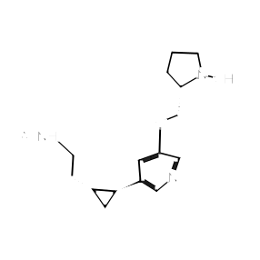 CC(=O)NCC[C@H]1C[C@@H]1c1cncc(OC[C@@H]2CCCN2C)c1